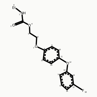 CCNC(=O)OCCOc1ccc(Oc2cccc(F)c2)cc1